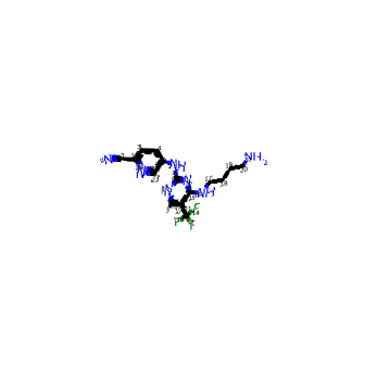 N#Cc1ccc(Nc2ncc(C(F)(F)F)c(NCCCCN)n2)cn1